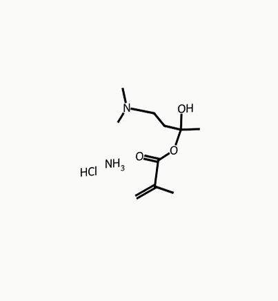 C=C(C)C(=O)OC(C)(O)CCN(C)C.Cl.N